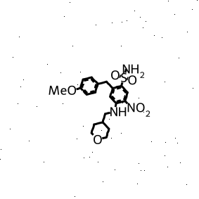 COc1ccc(Cc2cc(NCC3CCOCC3)c([N+](=O)[O-])cc2S(N)(=O)=O)cc1